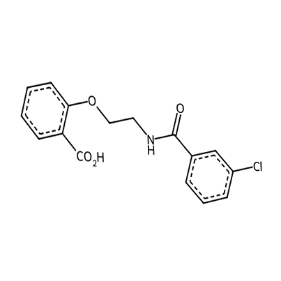 O=C(NCCOc1ccccc1C(=O)O)c1cccc(Cl)c1